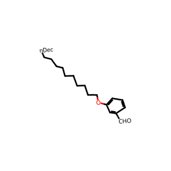 CCCCCCCCCCCCCCCCCCCCOc1cccc(C=O)c1